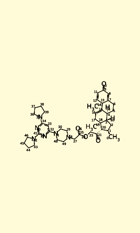 C[C@@H]1C[C@H]2[C@@H]3CCC4=CC(=O)C=C[C@]4(C)C3=CC[C@]2(C)[C@H]1C(=O)COC(=O)CN1CCN(c2cc(N3CCCC3)nc(N3CCCC3)n2)CC1